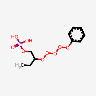 CCC(COP(=O)(O)O)OOOOOc1ccccc1